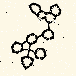 c1ccc(C2(c3ccccc3)c3ccccc3-c3ccc(-c4cccc(-c5nc6ccccc6c6c5sc5ccccc56)c4)cc32)cc1